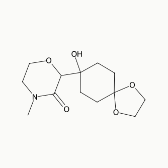 CN1CCOC(C2(O)CCC3(CC2)OCCO3)C1=O